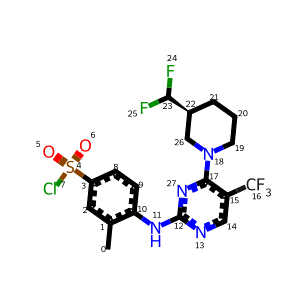 Cc1cc(S(=O)(=O)Cl)ccc1Nc1ncc(C(F)(F)F)c(N2CCC[C@H](C(F)F)C2)n1